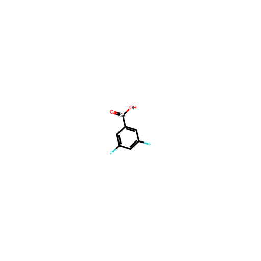 O=[Se](O)c1cc(F)cc(F)c1